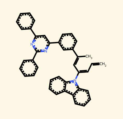 C=C/C=C(\C=C(/C)c1cccc(-c2cc(-c3ccccc3)nc(-c3ccccc3)n2)c1)n1c2ccccc2c2ccccc21